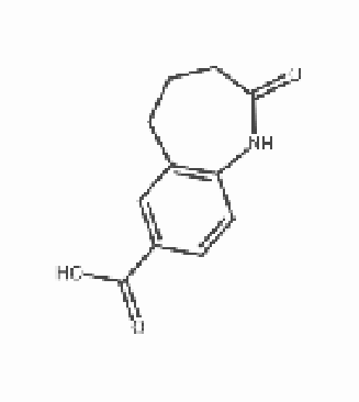 O=C1CCCc2cc(C(=O)O)ccc2N1